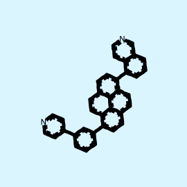 c1cc(-c2ccncc2)cc(-c2ccc3ccc4c(-c5cccc6cnccc56)ccc5ccc2c3c54)c1